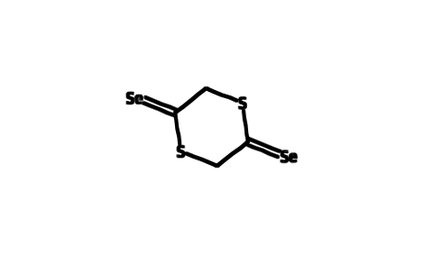 [Se]=C1CSC(=[Se])CS1